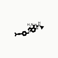 CC(C)C#Cc1ccc(Cn2ccc3c4c(N)nc(NC5CC5)nc4ccc32)cc1